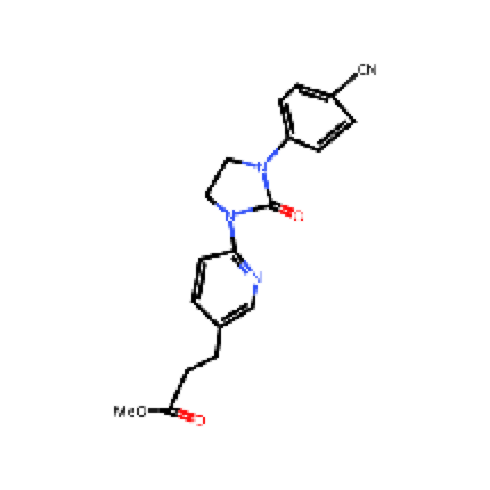 COC(=O)CCc1ccc(N2CCN(c3ccc(C#N)cc3)C2=O)nc1